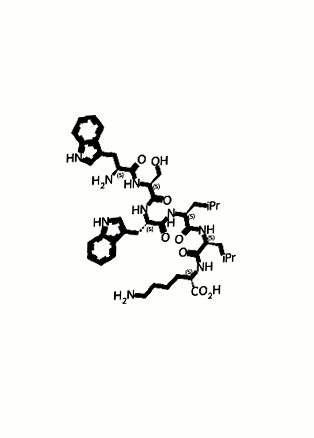 CC(C)C[C@H](NC(=O)[C@H](CC(C)C)NC(=O)[C@H](Cc1c[nH]c2ccccc12)NC(=O)[C@H](CO)NC(=O)[C@@H](N)Cc1c[nH]c2ccccc12)C(=O)N[C@@H](CCCCN)C(=O)O